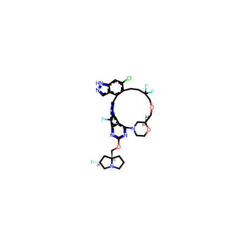 Fc1c2ncc3c(nc(OC[C@@]45CCCN4C[C@H](F)C5)nc13)N1CCO[C@@H](COCC(F)(F)CCc3c(Cl)cc4[nH]ncc4c3-2)C1